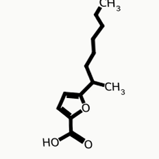 CCCCCCC(C)c1ccc(C(=O)O)o1